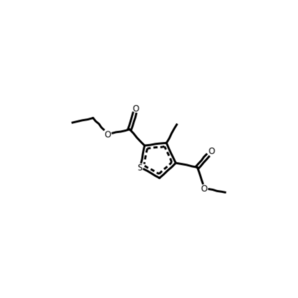 CCOC(=O)c1scc(C(=O)OC)c1C